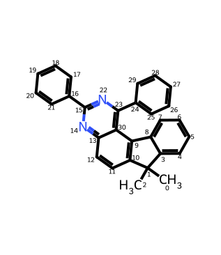 CC1(C)c2ccccc2-c2c1ccc1nc(-c3ccccc3)nc(-c3ccccc3)c21